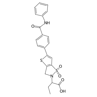 CCC(C(=O)O)N1Cc2sc(-c3ccc(C(=O)Nc4ccccc4)cc3)cc2S1(=O)=O